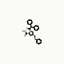 O=C(O)[C@@H]1C[C@H](CSc2ccccc2)CN1C(=O)C(c1ccccc1)c1ccccc1